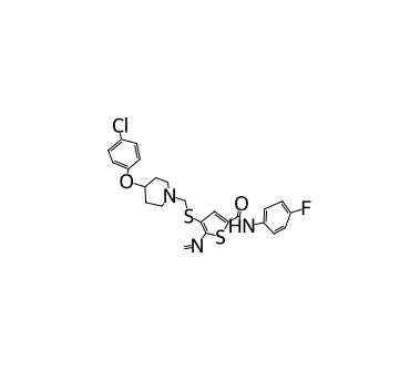 C=Nc1sc(C(=O)Nc2ccc(F)cc2)cc1SCN1CCC(Oc2ccc(Cl)cc2)CC1